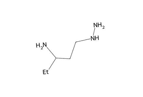 CCC(N)CCNN